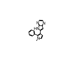 Cn1ccc(-c2cc3nccnc3[nH]2)c1-c1ccccc1